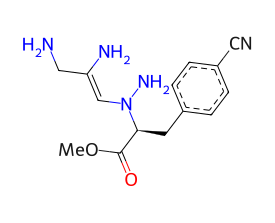 COC(=O)[C@H](Cc1ccc(C#N)cc1)N(N)/C=C(\N)CN